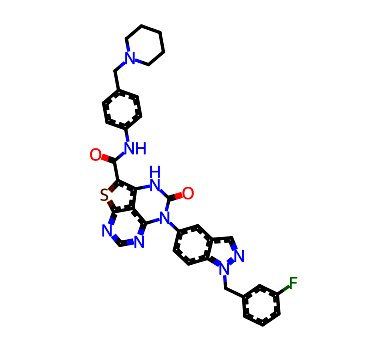 O=C(Nc1ccc(CN2CCCCC2)cc1)c1sc2ncnc3c2c1NC(=O)N3c1ccc2c(cnn2Cc2cccc(F)c2)c1